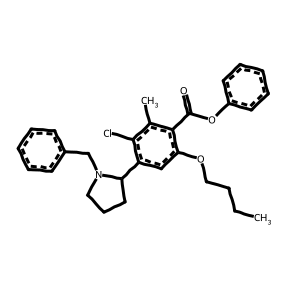 CCCCOc1cc(C2CCCN2Cc2ccccc2)c(Cl)c(C)c1C(=O)Oc1ccccc1